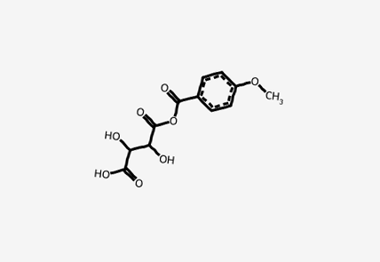 COc1ccc(C(=O)OC(=O)C(O)C(O)C(=O)O)cc1